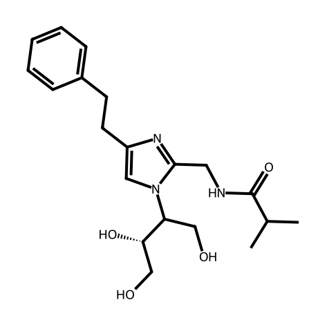 CC(C)C(=O)NCc1nc(CCc2ccccc2)cn1C(CO)[C@@H](O)CO